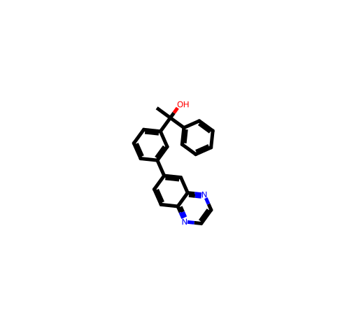 CC(O)(c1ccccc1)c1cccc(-c2ccc3nccnc3c2)c1